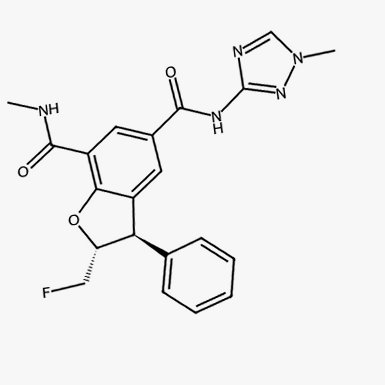 CNC(=O)c1cc(C(=O)Nc2ncn(C)n2)cc2c1O[C@@H](CF)[C@@H]2c1ccccc1